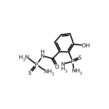 NP(N)(=S)NC(=O)c1cccc(O)c1P(N)(N)=S